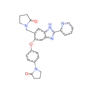 O=C1CCCN1Cc1cc2[nH]c(-c3ccccn3)nc2cc1Oc1ccc(N2CCCC2=O)cc1